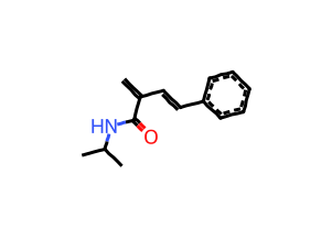 C=C(C=Cc1ccccc1)C(=O)NC(C)C